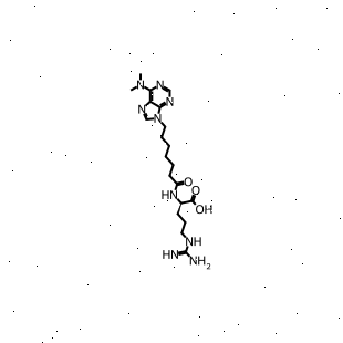 CN(C)c1ncnc2c1ncn2CCCCCCC(=O)N[C@H](CCCNC(=N)N)C(=O)O